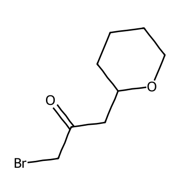 O=C(CBr)CC1CCCCO1